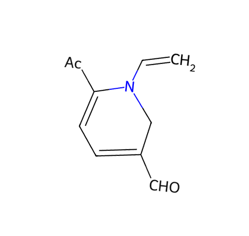 C=CN1CC(C=O)=CC=C1C(C)=O